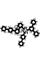 c1ccc(-c2ccc(-c3nc(-c4cc(-c5ccccc5)cc(-c5ccccc5)c4)nc(-c4cccc5oc6c(-c7ccc(-c8ccccc8)cc7)cccc6c45)n3)cc2)cc1